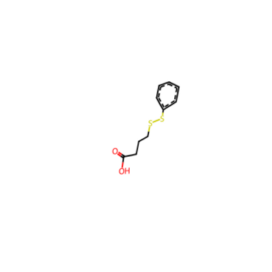 O=C(O)CCCSSc1ccccc1